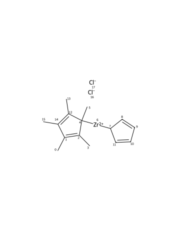 CC1=C(C)[C](C)([Zr+2][CH]2C=CC=C2)C(C)=C1C.[Cl-].[Cl-]